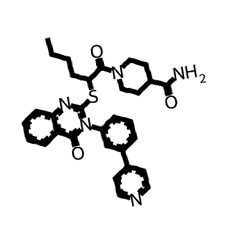 CCCCC(Sc1nc2ccccc2c(=O)n1-c1cccc(-c2ccncc2)c1)C(=O)N1CCC(C(N)=O)CC1